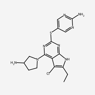 CCc1[nH]c2nc(Sc3cnc(N)nc3)nc(N3CCC(N)C3)c2c1Cl